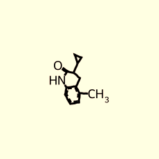 Cc1cccc2c1CC(C1CC1)C(=O)N2